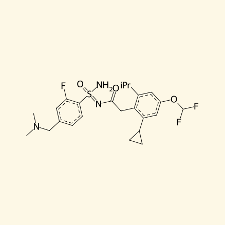 CC(C)c1cc(OC(F)F)cc(C2CC2)c1CC(=O)N=S(N)(=O)c1ccc(CN(C)C)cc1F